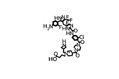 Nc1ccc(-c2[nH]nc(C(F)(F)F)c2Cc2cnc(C(=O)Nc3ccc(C(=O)N4CCN(C(=O)C5CC[N+](CCCC(=O)O)(CC6CNC6)CC5)CC4)c(Cl)c3)[nH]2)c(F)c1